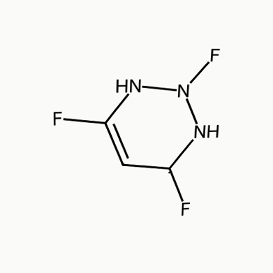 F[C]1C=C(F)NN(F)N1